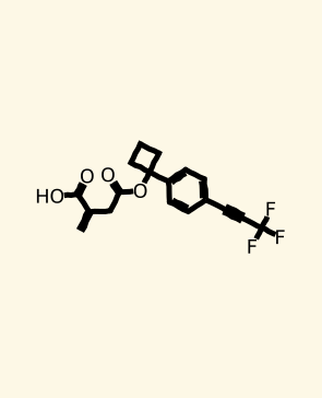 C=C(CC(=O)OC1(c2ccc(C#CC(F)(F)F)cc2)CCC1)C(=O)O